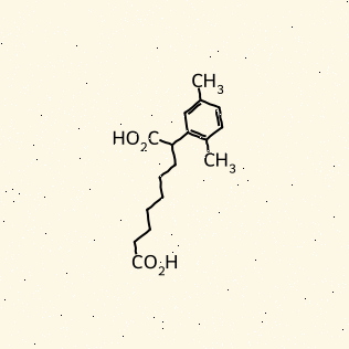 Cc1ccc(C)c(C(CCCCCCC(=O)O)C(=O)O)c1